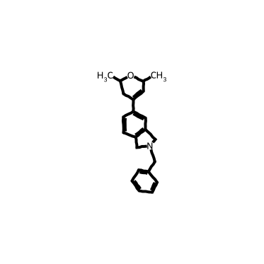 CC1C=C(c2ccc3c(c2)CN(Cc2ccccc2)C3)CC(C)O1